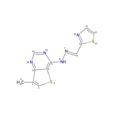 Cc1csc2c(NN=Cc3nccs3)ncnc12